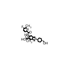 Cc1nc(C(=O)Nc2cc3cn([C@H]4CC[C@H](CO)CC4)nc3cc2C(C)(C)O)ccc1F